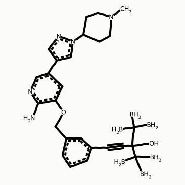 BC(B)(B)C(O)(C#Cc1cccc(COc2cc(-c3cnn(C4CCN(C)CC4)c3)cnc2N)c1)C(B)(B)B